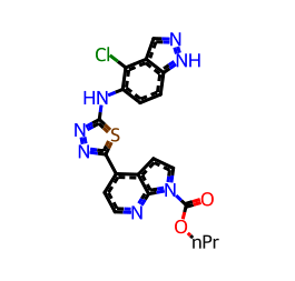 CCCOC(=O)n1ccc2c(-c3nnc(Nc4ccc5[nH]ncc5c4Cl)s3)ccnc21